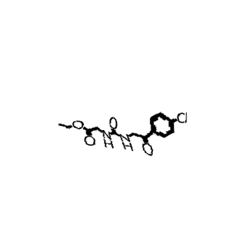 CCOC(=O)CNC(=O)NCC(=O)c1ccc(Cl)cc1